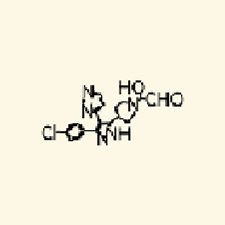 O=CC(O)N1CCC(c2[nH]nc(-c3ccc(Cl)cc3)c2-c2ccncn2)CC1